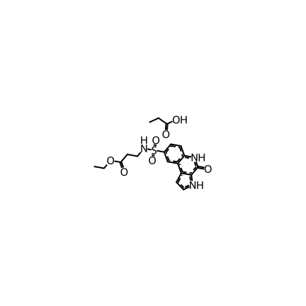 CCC(=O)O.CCOC(=O)CCNS(=O)(=O)c1ccc2[nH]c(=O)c3[nH]ccc3c2c1